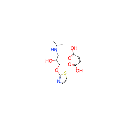 CC(C)NCC(O)COc1nccs1.O=C(O)/C=C\C(=O)O